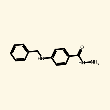 NNC(=O)c1ccc(NCc2ccccc2)cc1